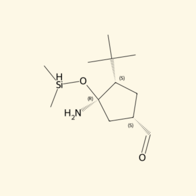 C[SiH](C)O[C@]1(N)C[C@@H](C=O)C[C@H]1C(C)(C)C